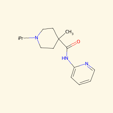 CC(C)N1CCC(C)(C(=O)Nc2ccccn2)CC1